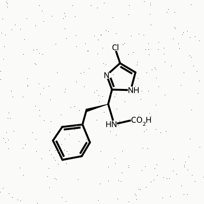 O=C(O)N[C@@H](Cc1ccccc1)c1nc(Cl)c[nH]1